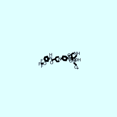 COCCN(O)C(=O)C1(S(=O)(=O)c2ccc(N3CCC(C(=O)Nc4cccc(OC(F)(F)F)c4)CC3)cc2)CCNCC1